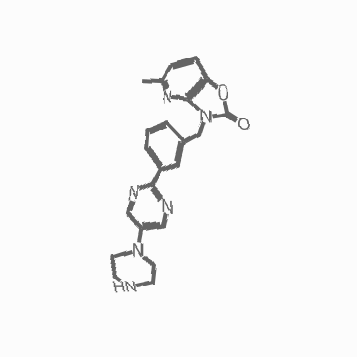 Cc1ccc2oc(=O)n(Cc3cccc(-c4ncc(N5CCNCC5)cn4)c3)c2n1